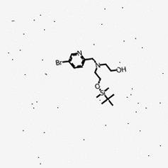 CC(C)(C)[Si](C)(C)OCCN(CCO)Cc1ccc(Br)cn1